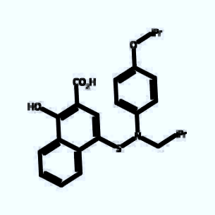 CC(C)CN(Sc1cc(C(=O)O)c(O)c2ccccc12)c1ccc(OC(C)C)cc1